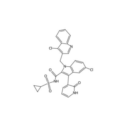 O=C(NS(=O)(=O)C1CC1)c1c(-c2ccc[nH]c2=O)c2cc(Cl)ccc2n1Cc1cnc2ccccc2c1Cl